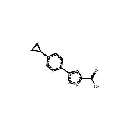 O=C(O)c1cc(-c2ccc(C3CC3)cc2)on1